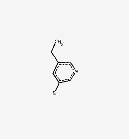 [CH2]Cc1cncc(Br)c1